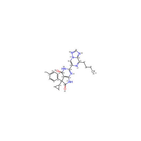 Cc1ccc(C2(C3CC3)C(=O)Nc3nc(-c4cn5ncnc5c(CCCC(F)(F)F)n4)[nH]c(=O)c32)cc1